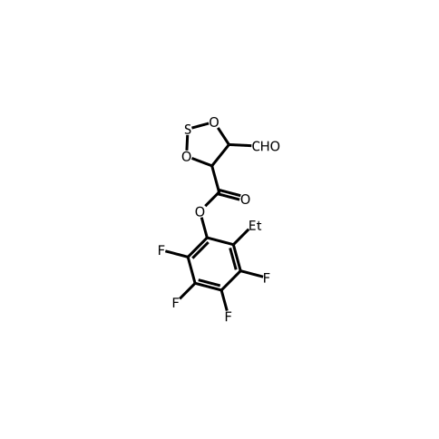 CCc1c(F)c(F)c(F)c(F)c1OC(=O)C1OSOC1C=O